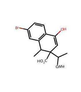 COC(C)C1(C(=O)O)C=C(O)c2ccc(Br)cc2C1C